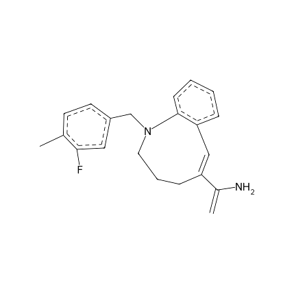 C=C(N)/C1=C/c2ccccc2N(Cc2ccc(C)c(F)c2)CCC1